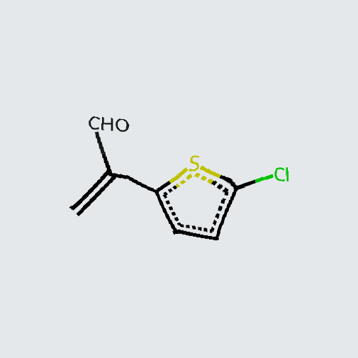 C=C(C=O)c1ccc(Cl)s1